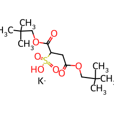 CC(C)(C)COC(=O)CC(C(=O)OCC(C)(C)C)S(=O)(=O)O.[K]